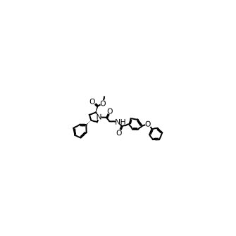 COC(=O)[C@@H]1C[C@@H](c2ccccc2)CN1C(=O)CNC(=O)c1ccc(Oc2ccccc2)cc1